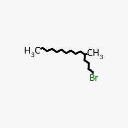 CCCCCCCCCCC(C)CCCCBr